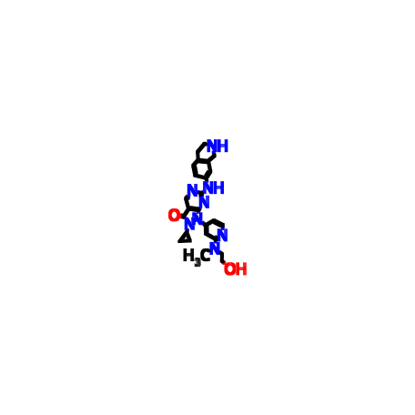 CN(CCO)c1cc(-n2c3nc(Nc4ccc5c(c4)CNCC5)ncc3c(=O)n2C2CC2)ccn1